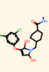 CNC(=O)C1CCC(CN2C(O)C=C(Oc3cc(Cl)cc(Cl)c3)C2O)CC1